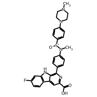 CN1CCN(c2ccc([S+]([O-])N(C)c3ccc(-c4nc(C(=O)O)cc5c4[nH]c4cc(F)ccc45)cc3)cc2)CC1